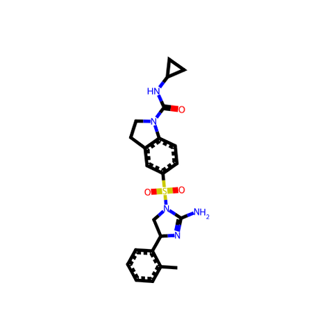 Cc1ccccc1C1CN(S(=O)(=O)c2ccc3c(c2)CCN3C(=O)NC2CC2)C(N)=N1